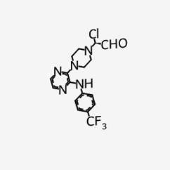 O=C[C@H](Cl)N1CCN(c2nccnc2Nc2ccc(C(F)(F)F)cc2)CC1